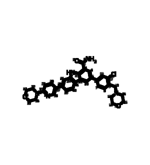 NC(=O)c1cc(-c2ccc(CN3CCOCC3)c(Cl)c2)cc2c1[nH]c1cc(-c3ccc(N4CCOCC4)nc3)ccc12